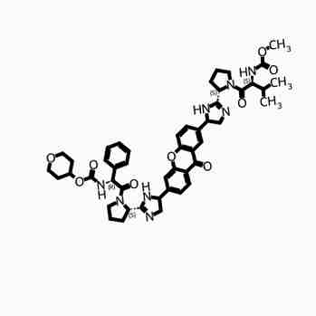 COC(=O)N[C@H](C(=O)N1CCC[C@H]1C1=NCC(c2ccc3oc4cc(C5CN=C([C@@H]6CCCN6C(=O)[C@H](NC(=O)OC6CCOCC6)c6ccccc6)N5)ccc4c(=O)c3c2)N1)C(C)C